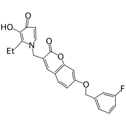 CCc1c(O)c(=O)ccn1Cc1cc2ccc(OCc3cccc(F)c3)cc2oc1=O